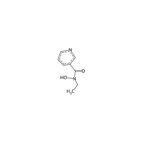 CCN(O)C(=O)c1cccnc1